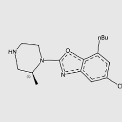 CCCCc1cc(Cl)cc2nc(N3CCNC[C@@H]3C)oc12